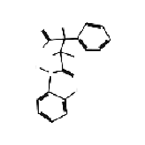 O=C(N(F)c1ccccc1F)C(F)(F)C(F)(C(=O)O)c1ccccc1